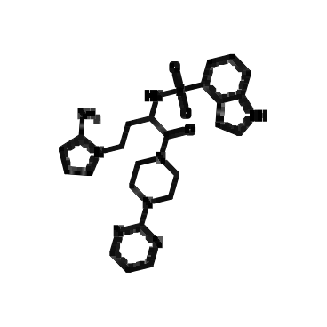 Nc1cccn1CCC(NS(=O)(=O)c1cccc2[nH]ccc12)C(=O)N1CCN(c2ncccn2)CC1